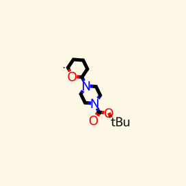 CC(C)(C)OC(=O)N1CCN(C2CCC[CH]O2)CC1